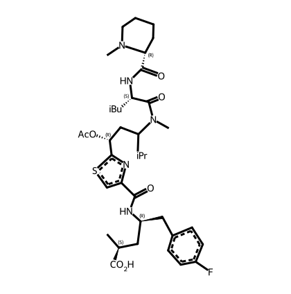 CCC(C)[C@H](NC(=O)[C@H]1CCCCN1C)C(=O)N(C)C(C[C@@H](OC(C)=O)c1nc(C(=O)N[C@@H](Cc2ccc(F)cc2)C[C@H](C)C(=O)O)cs1)C(C)C